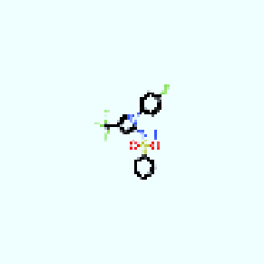 O=S(=O)(Nc1cc(C(F)(F)F)cn1-c1ccc(F)cc1)c1ccccc1